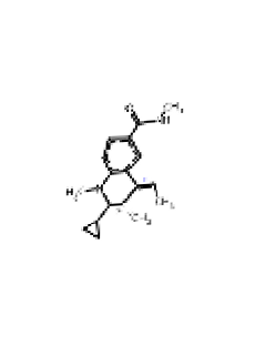 C/C=C1/c2cc(C(=O)NC)ccc2N(C)C(C2CC2)[C@H]1C